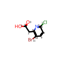 O=C(O)Cc1nc(Cl)ccc1Br